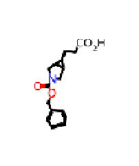 O=C(O)CCC1C2CN(C(=O)OCc3ccccc3)CC12